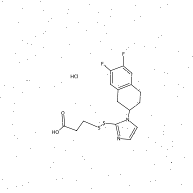 Cl.O=C(O)CCSSc1nccn1C1CCc2cc(F)c(F)cc2C1